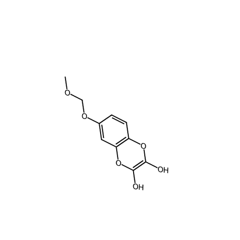 COCOc1ccc2c(c1)OC(O)=C(O)O2